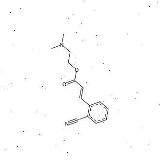 CN(C)CCOC(=O)/C=C/c1ccccc1C#N